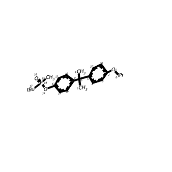 CC(C)Oc1ccc(C(C)(C)c2ccc(OP(C)(=O)C(C)(C)C)cc2)cc1